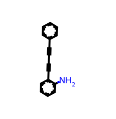 Nc1ccccc1C#CC#Cc1ccccc1